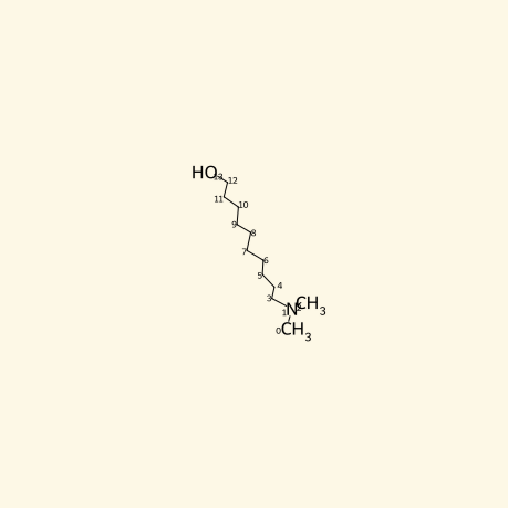 CN(C)CCCCCCCCCCO